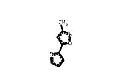 Cc1cc(-c2ccco2)on1